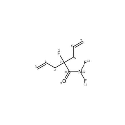 C=CCC(F)(CC=C)C(=O)N(F)F